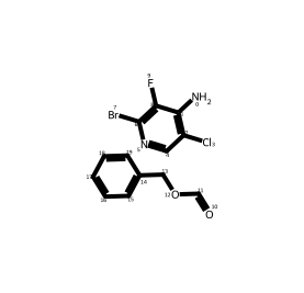 Nc1c(Cl)cnc(Br)c1F.O=COCc1ccccc1